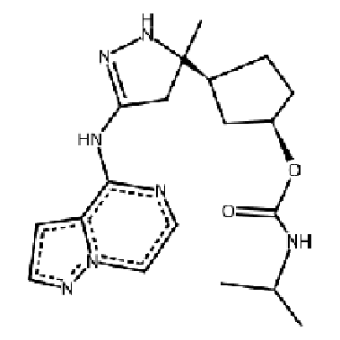 CC(C)NC(=O)O[C@@H]1CC[C@H](C2(C)CC(Nc3nccn4nccc34)=NN2)C1